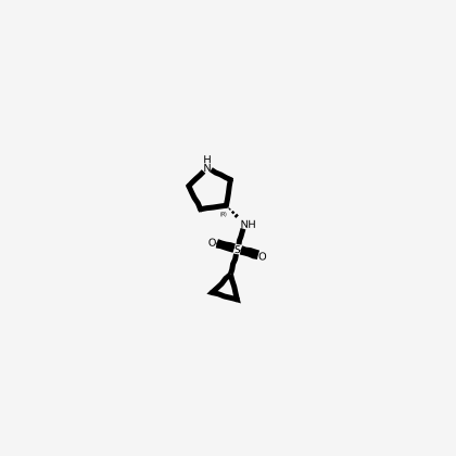 O=S(=O)(N[C@@H]1CCNC1)C1CC1